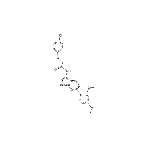 COc1ccc(-c2ccc3c(NC(=O)COc4ccc(Cl)cc4)n[nH]c3c2)c(OC)c1